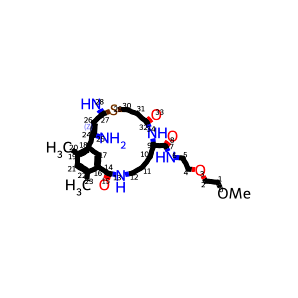 COCCOCCNC(=O)C1CCCNC(=O)c2cc(c(C)cc2C)/C(N)=C/C(=N)SCCC(=O)N1